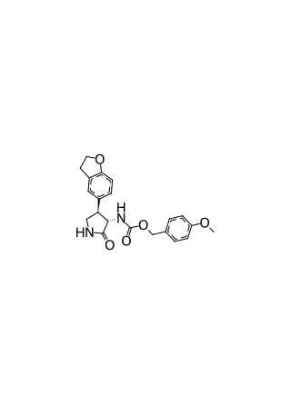 COc1ccc(COC(=O)N[C@@H]2C(=O)NC[C@H]2c2ccc3c(c2)CCO3)cc1